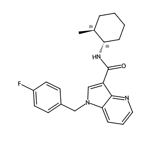 C[C@H]1CCCC[C@@H]1NC(=O)c1cn(Cc2ccc(F)cc2)c2cccnc12